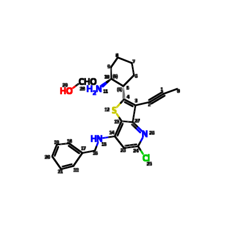 CC#Cc1c([C@H]2CCCC[C@@H]2N)sc2c(NCc3ccccc3)cc(Cl)nc12.O=CO